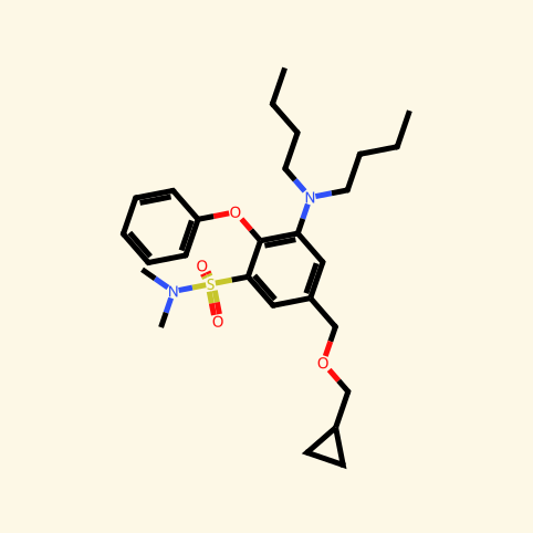 CCCCN(CCCC)c1cc(COCC2CC2)cc(S(=O)(=O)N(C)C)c1Oc1ccccc1